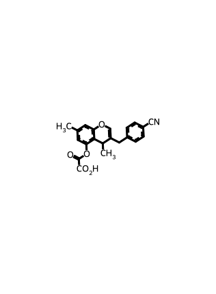 Cc1cc2c(c(OC(=O)C(=O)O)c1)C(C)C(Cc1ccc(C#N)cc1)=CO2